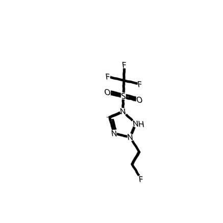 O=S(=O)(N1[C]=NN(CCF)N1)C(F)(F)F